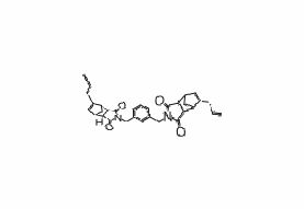 C=CCC1=CC2CC1C1C(=O)N(Cc3cccc(CN4C(=O)C5C6CC(C=C6CC=C)[C@@H]5C4=O)c3)C(=O)C21